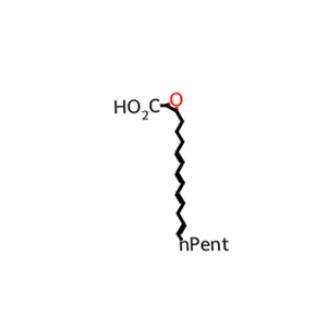 CCCCCC=CCC=CC=CC=CCCCC1OC1C(=O)O